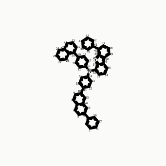 c1ccc(-c2ccc3ccc(-c4ccc(N(c5ccc(-c6cccc7ccccc67)cc5)c5cccc6c5sc5c(-c7ccccc7)cccc56)cc4)cc3c2)cc1